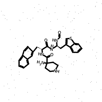 NC1(C(=O)N[C@H](Cc2ccc3ccccc3c2)C(=O)N[C@H](Cc2csc3ccccc23)NC=O)CCNCC1